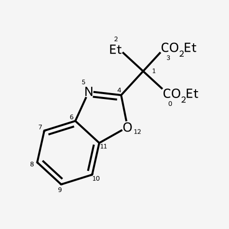 CCOC(=O)C(CC)(C(=O)OCC)c1nc2ccccc2o1